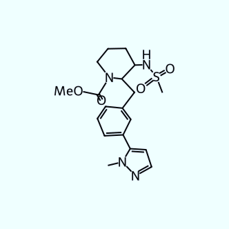 COC(=O)N1CCCC(NS(C)(=O)=O)C1Cc1cccc(-c2ccnn2C)c1